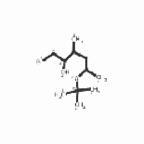 CC(CC(C)[C@@H](O)CBr)OC(C)(C)C